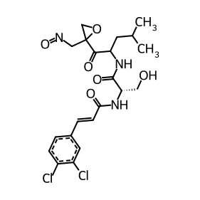 CC(C)CC(NC(=O)[C@H](CO)NC(=O)/C=C/c1ccc(Cl)c(Cl)c1)C(=O)C1(CN=O)CO1